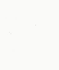 CCN(CC)CC(C)C(=O)OC